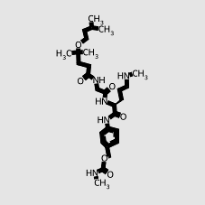 CNCCC[C@H](NC(=O)CNC(=O)CCC(C)(C)OCCC(C)C)C(=O)Nc1ccc(COC(=O)NC)cc1